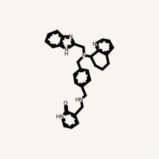 O=c1[nH]cccc1CNCc1ccc(CN(Cc2nc3ccccc3[nH]2)C2CCCc3cccnc32)cc1